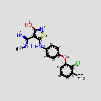 CC(C)NC(=N)c1c(O)nsc1Nc1ccc(Oc2cccc(C(F)(F)F)c2Cl)cc1